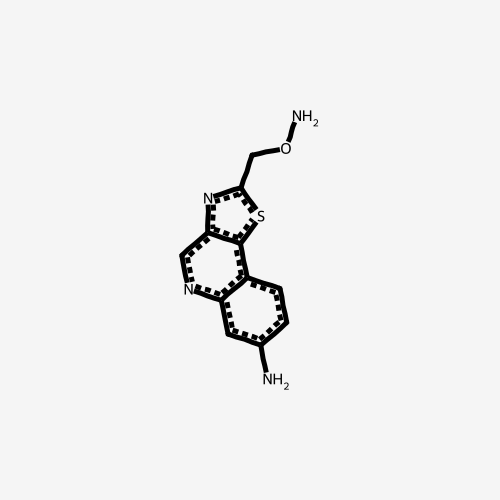 NOCc1nc2cnc3cc(N)ccc3c2s1